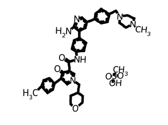 CS(=O)(=O)O.Cc1ccc(-c2cn(CC3CCOCC3)cc(C(=O)Nc3ccc(-c4cc(-c5ccc(CN6CCN(C)CC6)cc5)cnc4N)cc3)c2=O)cc1